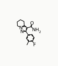 Cc1cc(-c2nn3c(c2C(N)=O)CCCC3)ccc1F